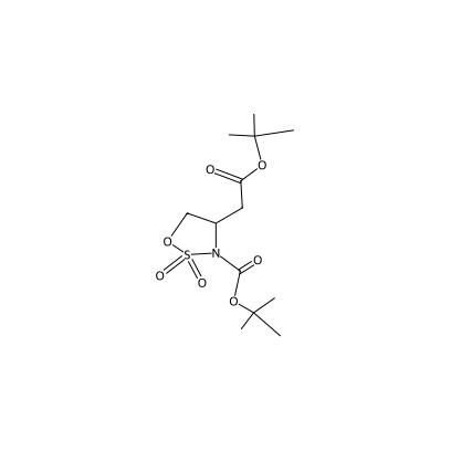 CC(C)(C)OC(=O)CC1COS(=O)(=O)N1C(=O)OC(C)(C)C